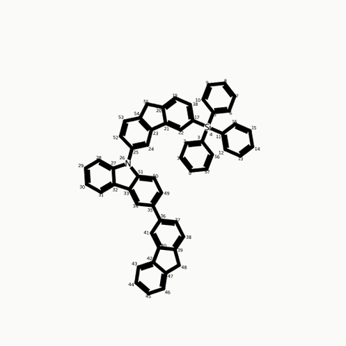 c1ccc([Si](c2ccccc2)(c2ccccc2)c2ccc3c(c2)-c2cc(-n4c5ccccc5c5cc(-c6ccc7c(c6)-c6ccccc6C7)ccc54)ccc2C3)cc1